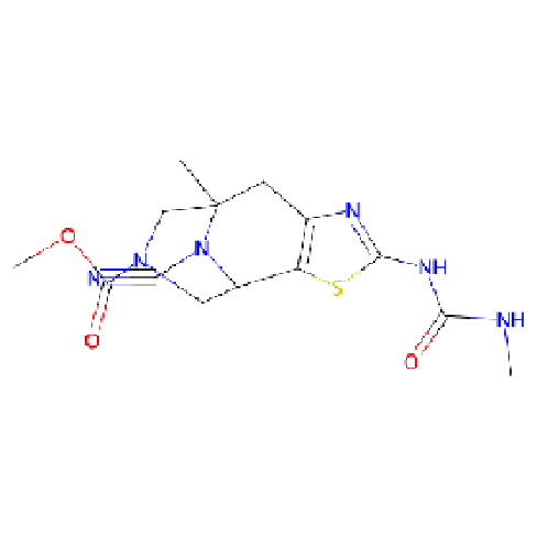 CNC(=O)Nc1nc2c(s1)C1CN(C(=O)OC)CC(C)(C2)N1C#N